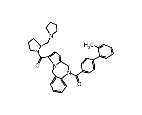 Cc1ccccc1-c1ccc(C(=O)N2Cc3ccc(C(=O)N4CCC[C@H]4CN4CCCC4)n3Cc3ccccc32)cc1